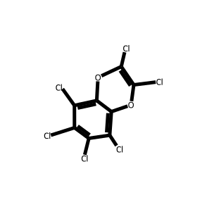 ClC1=C(Cl)Oc2c(Cl)c(Cl)c(Cl)c(Cl)c2O1